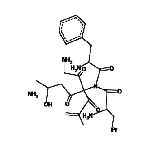 C=C(C)C(=O)C(C(=O)CN)(C(=O)CC(C)O)N(C(=O)C(N)Cc1ccccc1)C(=O)C(N)CC(C)C.N